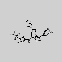 Cc1cc(Nc2cc(N3CC(N)C3)nc3c(-c4cn[nH]c4)cnn23)sc1S(=O)(=O)N(C)C